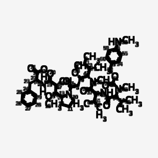 CC[C@H](C)[C@@H]([C@@H](CC(=O)N1CCC[C@H]1[C@H](OC)[C@@H](C)C(=O)N[C@@H](Cc1ccccc1)C(=O)O)OC)N(C)C(=O)[C@@H](NC(=O)[C@H](C(C)C)N(C)C(=O)OCc1ccc(NC)cc1)C(C)C